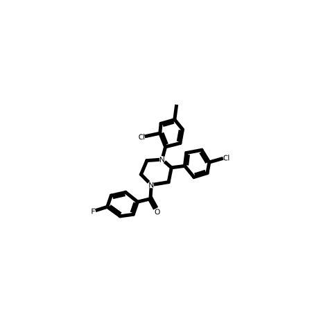 Cc1ccc(N2CCN(C(=O)c3ccc(F)cc3)CC2c2ccc(Cl)cc2)c(Cl)c1